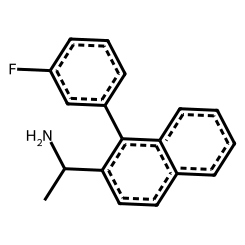 CC(N)c1ccc2ccccc2c1-c1cccc(F)c1